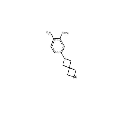 COc1cc(N2CC3(CNC3)C2)ccc1[N+](=O)[O-]